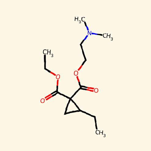 CCOC(=O)C1(C(=O)OCCN(C)C)CC1CC